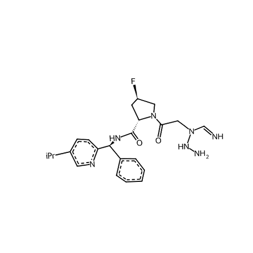 CC(C)c1ccc([C@@H](NC(=O)[C@@H]2C[C@@H](F)CN2C(=O)CN(C=N)NN)c2ccccc2)nc1